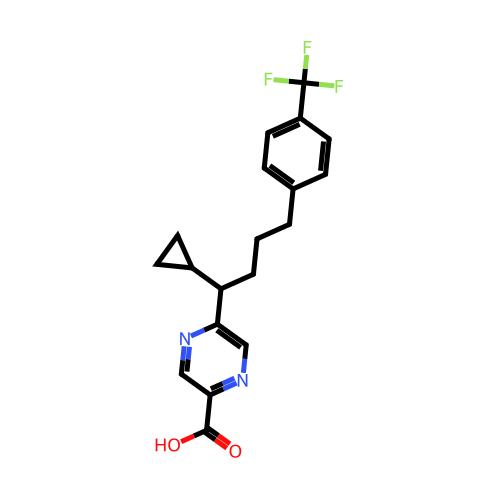 O=C(O)c1cnc(C(CCCc2ccc(C(F)(F)F)cc2)C2CC2)cn1